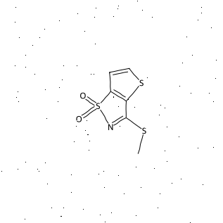 CSC1=NS(=O)(=O)c2ccsc21